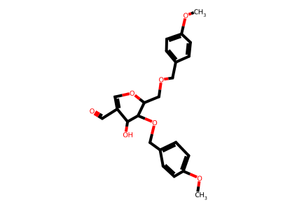 COc1ccc(COCC2OC=C(C=O)C(O)C2OCc2ccc(OC)cc2)cc1